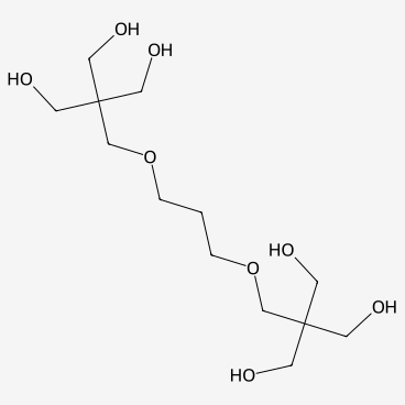 OCC(CO)(CO)COCCCOCC(CO)(CO)CO